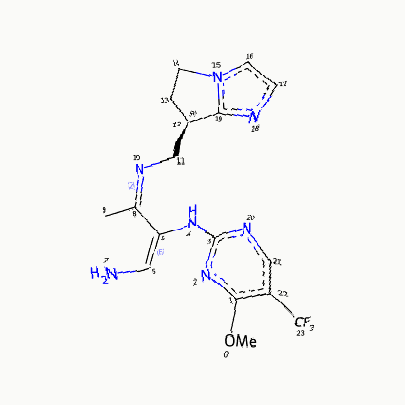 COc1nc(NC(=C/N)/C(C)=N\C[C@H]2CCn3ccnc32)ncc1C(F)(F)F